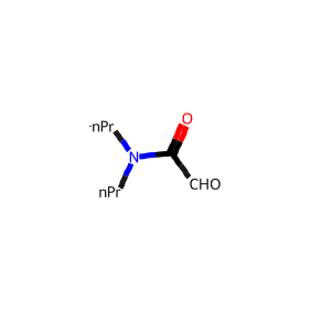 CC[CH]N(CCC)C(=O)C=O